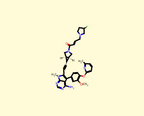 COc1cc(-c2c(C#C[C@@H]3[C@H]4CN(C(=O)/C=C/CN5CCC(F)C5)C[C@@H]34)n(C)c3ncnc(N)c23)ccc1Oc1cccc(C)n1